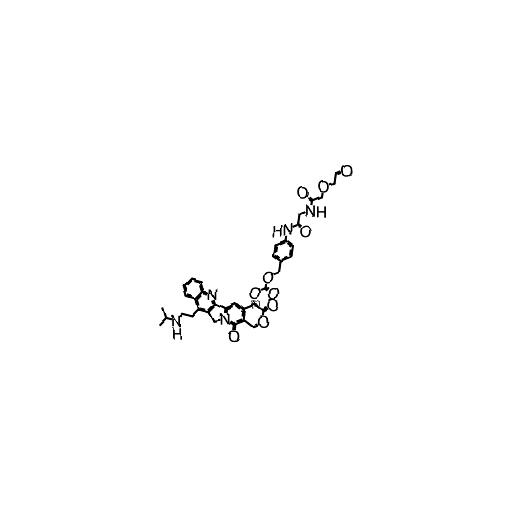 CC(C)NCCc1c2c(nc3ccccc13)-c1cc3c(c(=O)n1C2)COC(=O)[C@H]3OC(=O)OCc1ccc(NC(=O)CNC(=O)COCC=O)cc1